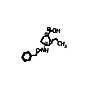 CCN1C[C@H](NOCc2ccccc2)CC[C@H]1C(=O)O